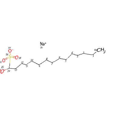 CCCCCCCCCCCCCCC(O)S(=O)(=O)[O-].[Na+]